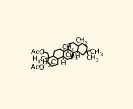 CC(=O)OCC1(C)C2CC[C@]3(C)[C@H](CC=C4[C@H]5CC(C)(C)CC[C@]5(C)CC[C@]43C)[C@@]2(C)CC[C@@H]1OC(C)=O